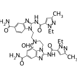 CCn1nc(C)cc1C(=O)Nc1nc2cc(C(N)=O)ccc2n1CCN(C=O)CCn1c(NC(=O)c2cc(C)nn2CC)nc2cc(C(N)=O)ccc21